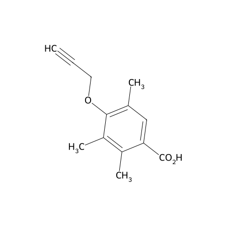 C#CCOc1c(C)cc(C(=O)O)c(C)c1C